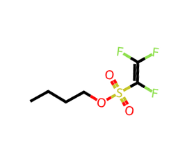 CCCCOS(=O)(=O)C(F)=C(F)F